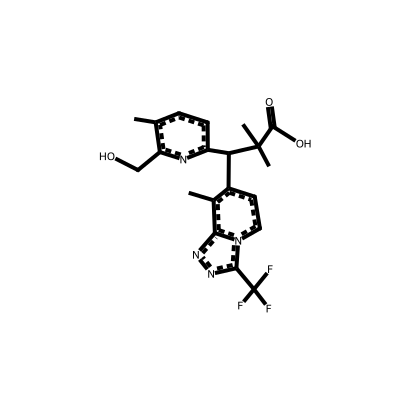 Cc1ccc(C(c2ccn3c(C(F)(F)F)nnc3c2C)C(C)(C)C(=O)O)nc1CO